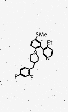 CCc1ccncc1-c1cc(SC)ccc1N1CCC(Cc2ccc(F)cc2F)CC1